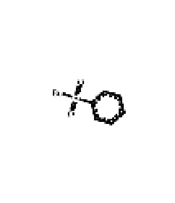 CCC(C)S(=O)(=O)c1ccccc1